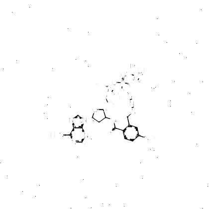 [N-]=[N+]=NCc1cc([N+](=O)[O-])ccc1C(=O)OC1C[C@H](n2cnc3c(N)ncnc32)O[C@@H]1COP(=O)(O)OP(=O)(O)OP(=O)(O)O